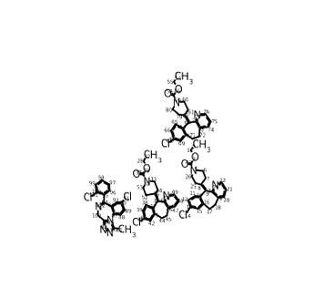 CCOC(=O)N1CCC(=C2c3ccc(Cl)cc3CCc3cccnc32)CC1.CCOC(=O)N1CCC(=C2c3ccc(Cl)cc3CCc3cccnc32)CC1.CCOC(=O)N1CCC(=C2c3ccc(Cl)cc3CCc3cccnc32)CC1.Cc1nnc2n1-c1ccc(Cl)cc1C(c1ccccc1Cl)=NC2